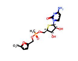 CP(=O)(OCc1ccc([N+](=O)[O-])o1)OC[C@H]1S[C@@H](n2ccc(N)nc2=O)[C@@H](O)[C@@H]1O